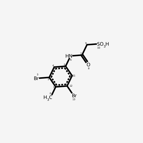 Cc1c(Br)cc(NC(=O)CS(=O)(=O)O)cc1Br